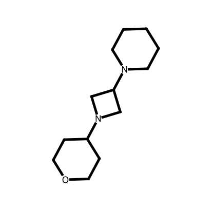 C1CCN(C2CN(C3CCOCC3)C2)CC1